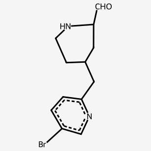 O=CC1CC(Cc2ccc(Br)cn2)CCN1